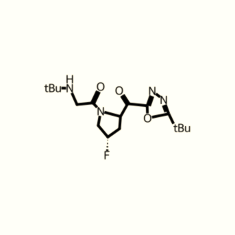 CC(C)(C)NCC(=O)N1C[C@@H](F)CC1C(=O)c1nnc(C(C)(C)C)o1